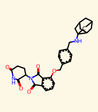 O=C1CCC(N2C(=O)c3cccc(OCc4ccc(CNC56CC7CC(CC5C7)C6)cc4)c3C2=O)C(=O)N1